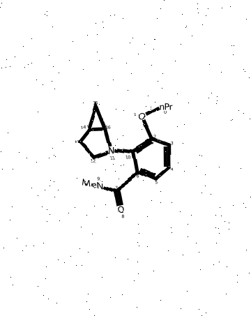 CCCOc1cccc(C(=O)NC)c1N1CCC2CC21